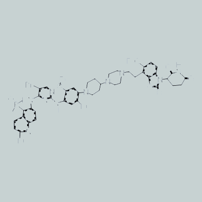 CCOc1cc(N2CCC(N3CCN(CCc4c(C(F)(F)F)ccc5c4oc(=O)n5C4CCC(=O)NC4=O)CC3)CC2)c(CC)cc1Nc1ncc(Br)c(Nc2ccc3nc(CC)ccc3c2P(C)(C)=O)n1